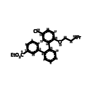 CCOC(=O)c1cccc(-c2ccccc2-c2cc(Cl)ccc2OCCC(C)C)c1